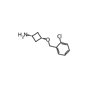 N[C@H]1C[C@@H](OCc2ccccc2Cl)C1